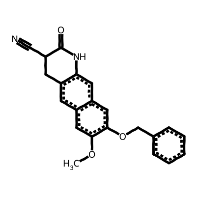 COc1cc2cc3c(cc2cc1OCc1ccccc1)NC(=O)C(C#N)C3